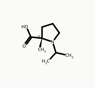 CC(C)N1CCC[C@@]1(C)C(=O)O